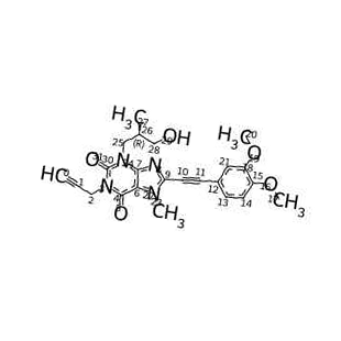 C#CCn1c(=O)c2c(nc(C#Cc3ccc(OC)c(OC)c3)n2C)n(C[C@@H](C)CO)c1=O